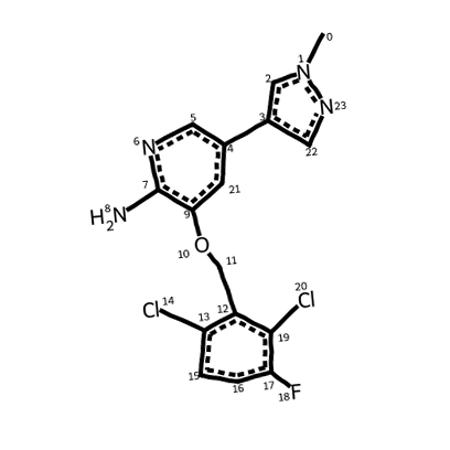 Cn1cc(-c2cnc(N)c(OCc3c(Cl)ccc(F)c3Cl)c2)cn1